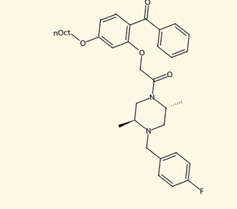 CCCCCCCCOc1ccc(C(=O)c2ccccc2)c(OCC(=O)N2C[C@H](C)N(Cc3ccc(F)cc3)C[C@H]2C)c1